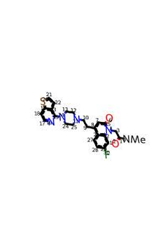 CNC(=O)Cn1c(=O)cc(CCN2CCN(c3nccc4sccc34)CC2)c2ccc(F)cc21